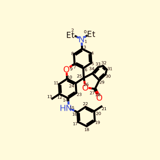 CCN(CC)c1ccc2c(c1)Oc1cc(C)c(Nc3cccc(C)c3)cc1C21OC(=O)c2ccccc21